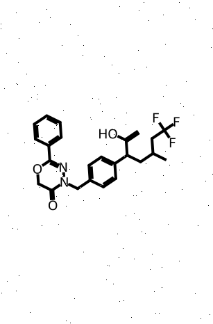 C=C(O)C(CC(C)CC(F)(F)F)c1ccc(CN2N=C(c3ccccc3)OCC2=O)cc1